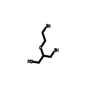 OCC(CS)OCCS